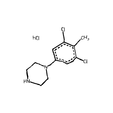 Cc1c(Cl)cc(N2CCNCC2)cc1Cl.Cl